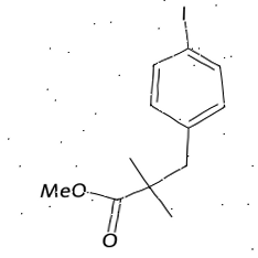 COC(=O)C(C)(C)Cc1ccc(I)cc1